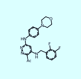 CC(=O)c1nnc(Nc2ccc(N3CCOCC3)cc2)cc1NCc1cccc(F)c1F